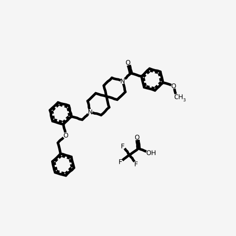 COc1ccc(C(=O)N2CCC3(CCN(Cc4ccccc4OCc4ccccc4)CC3)CC2)cc1.O=C(O)C(F)(F)F